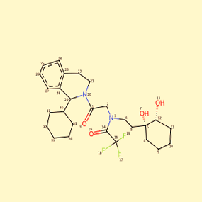 O=C(CN(CC[C@]1(O)CCCC[C@H]1O)C(=O)C(F)(F)F)N1CCc2ccccc2C1C1CCCCC1